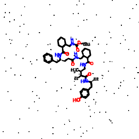 CCC(C(=O)N[C@H](CC)Cc1ccc(O)cc1)C(C)CNC(=O)C1CCCCC1CNC(=O)CC[C@H](Cc1ccccc1)NC(=O)C1CCCCC1CNC(=O)OC(C)(C)C